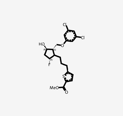 COC(=O)c1ccc(CCCC2[C@H](F)C[C@@H](O)[C@@H]2COc2cc(Cl)cc(Cl)c2)s1